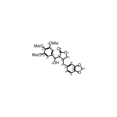 COc1cc(C(O)C2C(=O)OCC2Cc2ccc3c(c2)OCO3)cc(OC)c1OC